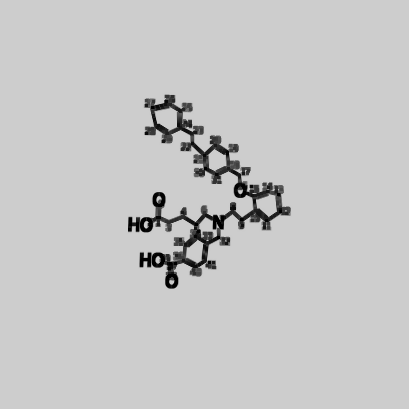 O=C(O)CCCCN(CCc1ccccc1OCc1ccc(CCc2ccccc2)cc1)Cc1ccc(C(=O)O)cc1